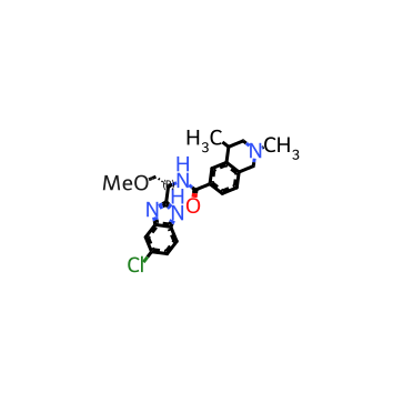 COC[C@H](NC(=O)c1ccc2c(c1)C(C)CN(C)C2)c1nc2cc(Cl)ccc2[nH]1